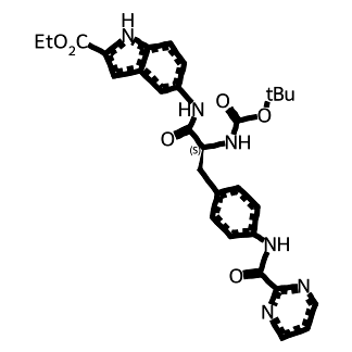 CCOC(=O)c1cc2cc(NC(=O)[C@H](Cc3ccc(NC(=O)c4ncccn4)cc3)NC(=O)OC(C)(C)C)ccc2[nH]1